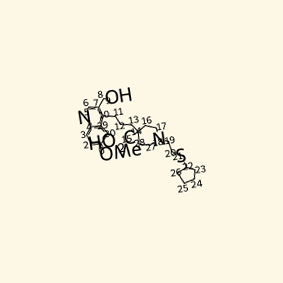 COc1ccc2ncc(CO)c(CCCC3(C(=O)O)CCN(CCSC4CCCC4)CC3)c2c1